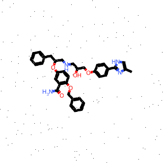 Cc1c[nH]c(-c2ccc(OCC(O)CNCC(Cc3ccccc3)Oc3ccc(OCc4ccccc4)c(C(N)=O)c3)cc2)n1